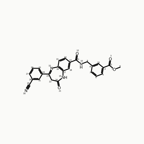 COC(=O)c1cccc(CNC(=O)c2ccc3c(c2)NC(=O)CC(c2cccc(C#N)c2)=N3)c1